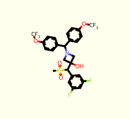 CS(=O)(=O)C(c1cc(F)cc(F)c1)C1(O)CN(C(c2ccc(OC(F)(F)F)cc2)c2ccc(OC(F)(F)F)cc2)C1